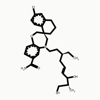 CC[C@@H](C/C=C/C(O)[C@H](C)CS)CCN1C[C@@]2(CCCc3cc(Cl)ccc32)COc2ccc(C(N)=O)cc21